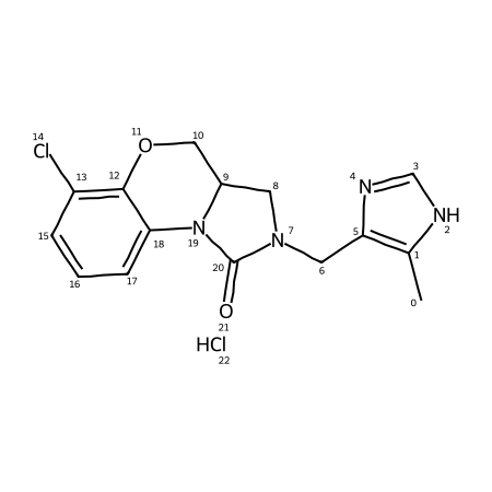 Cc1[nH]cnc1CN1CC2COc3c(Cl)cccc3N2C1=O.Cl